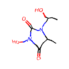 CC(O)N1C(=O)N(O)C(=O)C1C